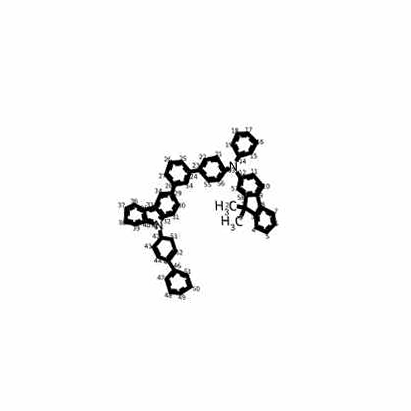 CC1(C)c2ccccc2-c2ccc(N(c3ccccc3)c3ccc(-c4cccc(-c5ccc6c(c5)c5ccccc5n6C5C=CC(c6ccccc6)=CC5)c4)cc3)cc21